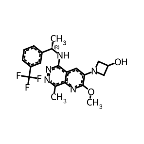 COc1nc2c(C)nnc(N[C@H](C)c3cccc(C(F)(F)F)c3)c2cc1N1CC(O)C1